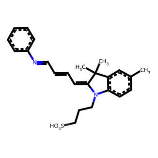 Cc1ccc2c(c1)C(C)(C)\C(=C/C=C/C=N/c1ccccc1)N2CCCS(=O)(=O)O